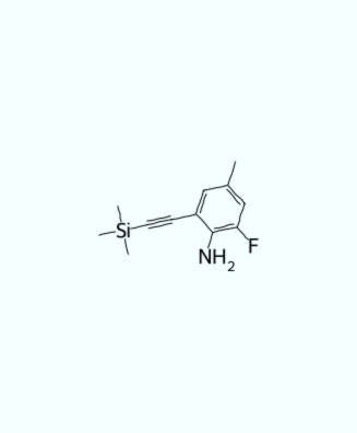 Cc1cc(F)c(N)c(C#C[Si](C)(C)C)c1